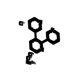 [Cl-].[Cl-].[Cl-].[Ru+3].c1cncc(-c2cccnc2-c2cccnc2)c1